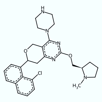 CN1CCC[C@@H]1COc1nc2c(c(N3CCNCC3)n1)COC(c1cccc3cccc(Cl)c13)C2